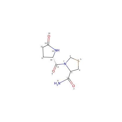 NC(=O)C1CSCN1C(=O)[C@@H]1CCC(=O)N1